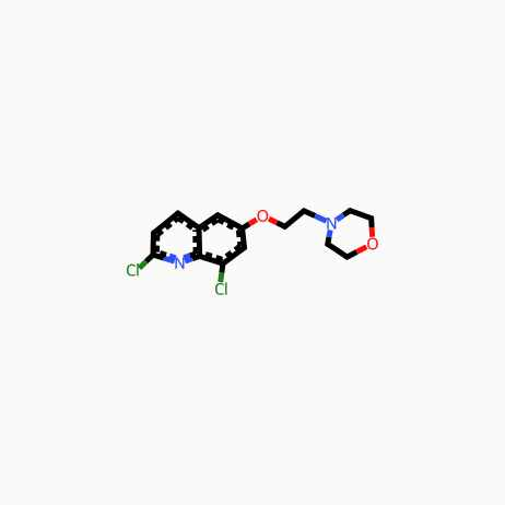 Clc1ccc2cc(OCCN3CCOCC3)cc(Cl)c2n1